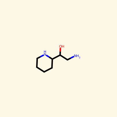 NCC(O)C1CCCCN1